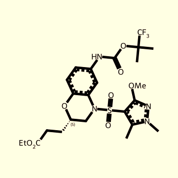 CCOC(=O)CC[C@H]1CN(S(=O)(=O)c2c(OC)nn(C)c2C)c2cc(NC(=O)OC(C)(C)C(F)(F)F)ccc2O1